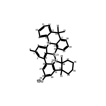 Cc1cc2c3c(c1)N1c4ccccc4C(C)(C)c4cccc(c41)B3N1c3c-2cc(C(C)(C)C)cc3C2(C)CCCCC12C